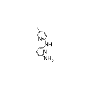 Cc1ccc(Nc2cccc(N)n2)nc1